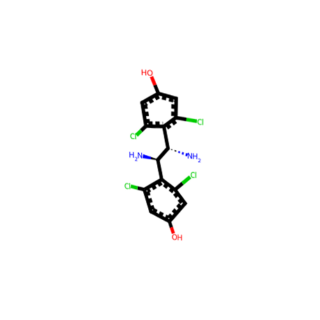 N[C@H](c1c(Cl)cc(O)cc1Cl)[C@@H](N)c1c(Cl)cc(O)cc1Cl